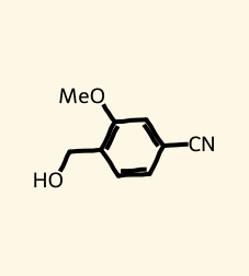 COc1cc(C#N)ccc1CO